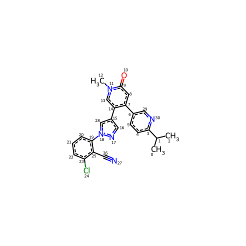 CC(C)c1ccc(-c2cc(=O)n(C)cc2-c2cnn(-c3cccc(Cl)c3C#N)c2)cn1